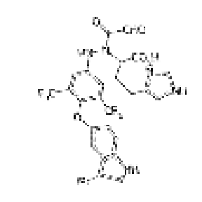 CC(C)c1c[nH]c2ccc(Oc3c(C(F)(F)F)cc(NN(C(=O)C=O)C(CCc4c[nH]cn4)C(=O)O)cc3C(F)(F)F)cc12